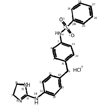 Cl.O=S(=O)(Nc1ccc(Cc2ccc(NC3=NCCN3)cc2)cc1)c1ccccc1